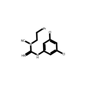 CC(C)CCN(C#N)C(=N)Nc1cc(Cl)cc(Cl)c1